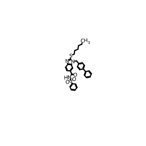 CCCCCCSc1nc2ccc(C(=O)NS(=O)(=O)c3ccccc3)cc2n1Cc1ccc(-c2ccccc2)cc1